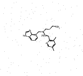 Cc1cnc(CNC(CCCN)Cc2cccc3[nH]cnc23)c(C)c1